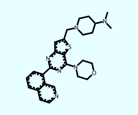 CN(C)C1CCN(Cc2cc3nc(-c4cccc5ccncc45)nc(N4CCOCC4)c3s2)CC1